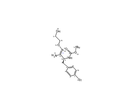 CCc1ccc(C[C@H](NC(=O)OC(C)(C)C)/C(N)=N/OCCO)cc1